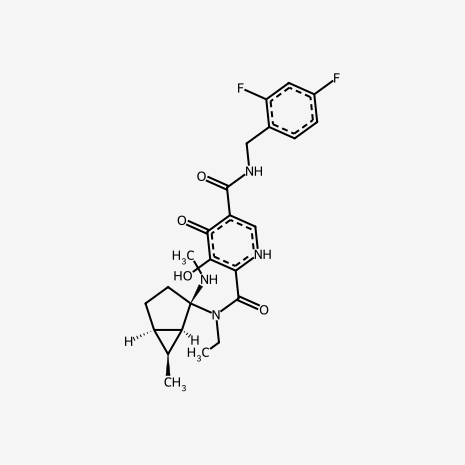 CCN(C(=O)c1[nH]cc(C(=O)NCc2ccc(F)cc2F)c(=O)c1O)[C@@]1(NC)CC[C@@H]2[C@H](C)[C@@H]21